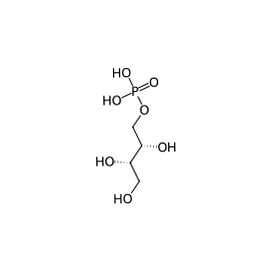 O=P(O)(O)OC[C@H](O)[C@@H](O)CO